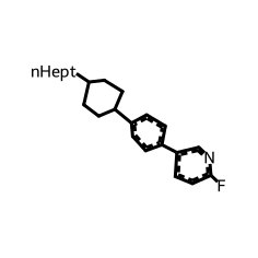 CCCCCCCC1CCC(c2ccc(-c3ccc(F)nc3)cc2)CC1